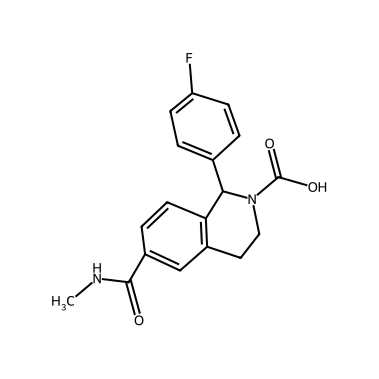 CNC(=O)c1ccc2c(c1)CCN(C(=O)O)C2c1ccc(F)cc1